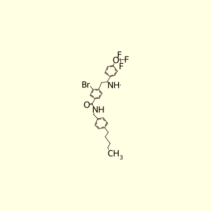 CCCCCc1ccc(CNC(=O)c2ccc(CC([NH])c3ccc(OC(F)(F)F)cc3)c(Br)c2)cc1